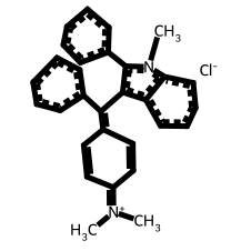 Cn1c(-c2ccccc2)c(C(=C2C=CC(=[N+](C)C)C=C2)c2ccccc2)c2ccccc21.[Cl-]